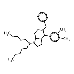 CCCCCN(CCCCC)N1CC[C]2C(c3ccc(C)c(C)c3)N(Cc3ccccc3)CCN21